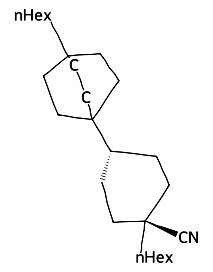 CCCCCCC12CCC([C@H]3CC[C@@](C#N)(CCCCCC)CC3)(CC1)CC2